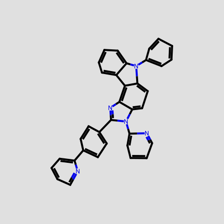 c1ccc(-n2c3ccccc3c3c4nc(-c5ccc(-c6ccccn6)cc5)n(-c5ccccn5)c4ccc32)cc1